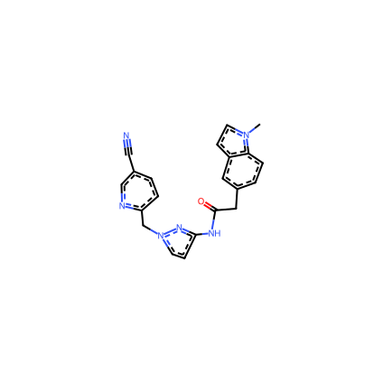 Cn1ccc2cc(CC(=O)Nc3ccn(Cc4ccc(C#N)cn4)n3)ccc21